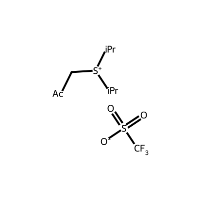 CC(=O)C[S+](C(C)C)C(C)C.O=S(=O)([O-])C(F)(F)F